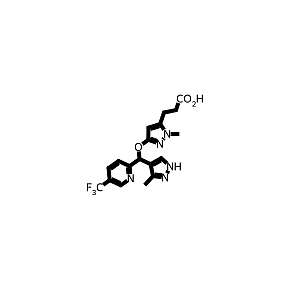 Cc1n[nH]cc1C(Oc1cc(CCC(=O)O)n(C)n1)c1ccc(C(F)(F)F)cn1